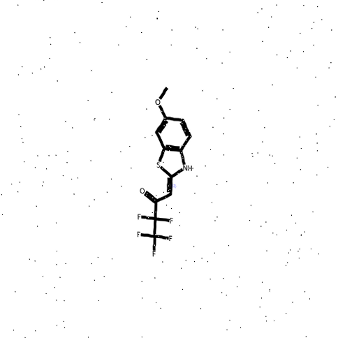 COc1ccc2c(c1)S/C(=C\C(=O)C(F)(F)C(F)(F)F)N2